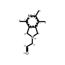 Cc1nc(C)c2c(c1C)CN(CC=O)C2